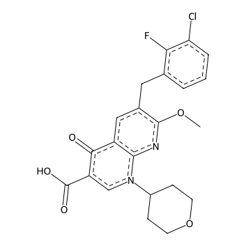 COc1nc2c(cc1Cc1cccc(Cl)c1F)c(=O)c(C(=O)O)cn2C1CCOCC1